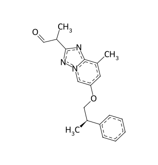 Cc1cc(OC[C@H](C)c2ccccc2)cn2nc(C(C)C=O)nc12